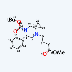 COC(=O)CCCN1C[C@H](c2ccccc2)N(C(=O)OC(C)(C)C)CC12CC2